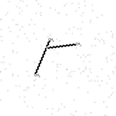 CCCCCCCCCCCCCCCCCCN(CCCCC)CCCCCCCCCCCCCCCCCC